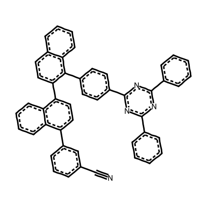 N#Cc1cccc(-c2ccc(-c3ccc4ccccc4c3-c3ccc(-c4nc(-c5ccccc5)nc(-c5ccccc5)n4)cc3)c3ccccc23)c1